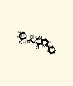 O=c1c2nc(-c3cccnc3)ccc2ncn1C[C@@H](O)C[C@H]1NCCC[C@@H]1O